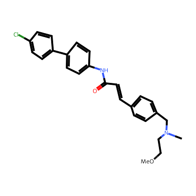 COCCN(C)Cc1ccc(/C=C/C(=O)Nc2ccc(-c3ccc(Cl)cc3)cc2)cc1